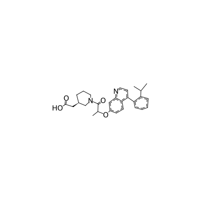 CC(Oc1ccc2c(-c3ccccc3C(C)C)ccnc2c1)C(=O)N1CCC[C@H](CC(=O)O)C1